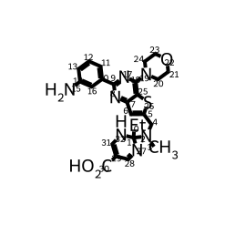 CCC1(N(C)Cc2cc3nc(-c4cccc(N)c4)nc(N4CCOCC4)c3s2)N=CC(C(=O)O)=CN1